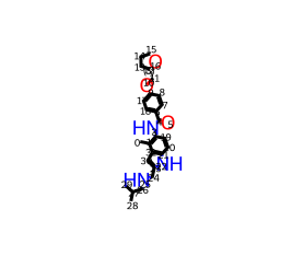 Cc1c(NC(=O)c2ccc(OC[C@@H]3CCCO3)cc2)ccc2[nH]c(CNCC(C)C)cc12